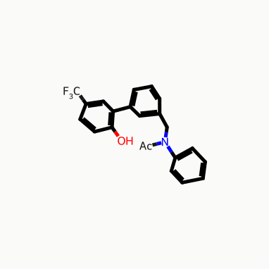 CC(=O)N(Cc1cccc(-c2cc(C(F)(F)F)ccc2O)c1)c1ccccc1